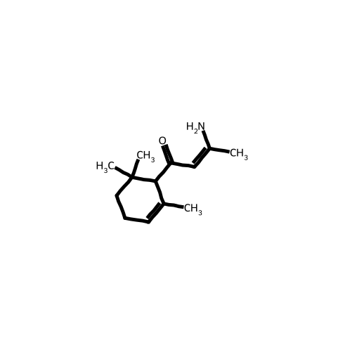 CC(N)=CC(=O)C1C(C)=CCCC1(C)C